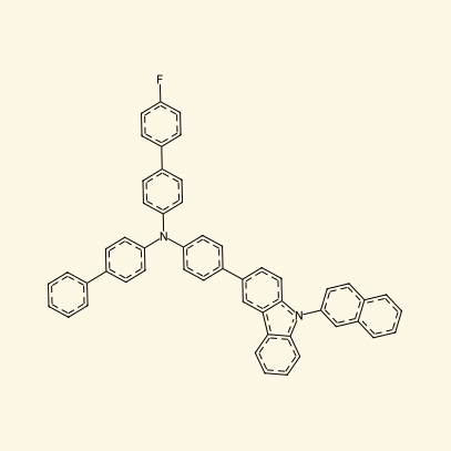 Fc1ccc(-c2ccc(N(c3ccc(-c4ccccc4)cc3)c3ccc(-c4ccc5c(c4)c4ccccc4n5-c4ccc5ccccc5c4)cc3)cc2)cc1